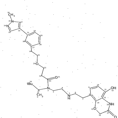 CC(N(CCNCCc1ccc(O)c2c1OCC(=O)N2)C(=O)CCOCCc1cccc(-c2cnn(C)c2)c1)C(C)(C)C